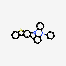 c1ccc(N2c3ccccc3-n3c4cc5sc6ccccc6c5cc4c4cccc2c43)cc1